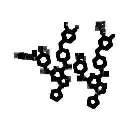 Cc1ccc(CC2CCN(Nc3nc(NC4CCC(N)CC4)nc4c3ncn4C3CCCC3)CC2)cc1Cl.Cl.Cl.Cl.Cl.Cl.Cl.NC1CCC(Nc2nc(NN3CCC(Cc4ccc(F)c(F)c4)CC3)c3ncn(C4CCCC4)c3n2)CC1